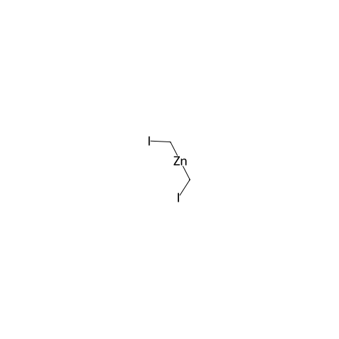 I[CH2][Zn][CH2]I